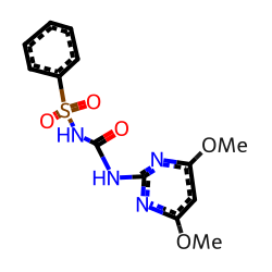 COc1cc(OC)nc(NC(=O)NS(=O)(=O)c2ccccc2)n1